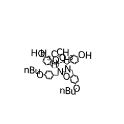 CCCCOc1ccc(CN2C(=O)N(Cc3ccc(OCCCC)cc3)[C@H](Cc3ccc(O)cc3)[C@@H]3OC(C)(C)O[C@H]3C2c2ccc(O)cc2)cc1